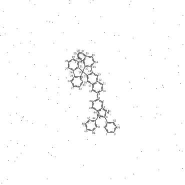 c1ccc(-c2nc3cc(-c4ccc5cc6c(cc5c4)C4(c5ccccc5-c5ccccc54)c4c-6ccc5ccccc45)ccc3n2-c2ccccc2)cc1